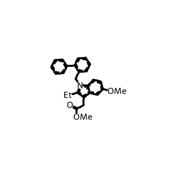 CCc1c(CC(=O)OC)c2cc(OC)ccc2n1Cc1ccccc1-c1ccccc1